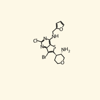 N[C@@H]1COCC[C@H]1c1sc2c(NCc3ccco3)nc(Cl)nc2c1Br